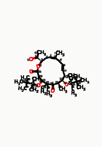 CC(=O)[C@@H]1CC=C(C)C/C=C/[C@H](C)[C@H](O[Si](C)(C)C(C)(C)C)[C@@H](C)C(=O)C(C)(C)[C@@H](O[Si](C)(C)C(C)(C)C)CC(=O)O1